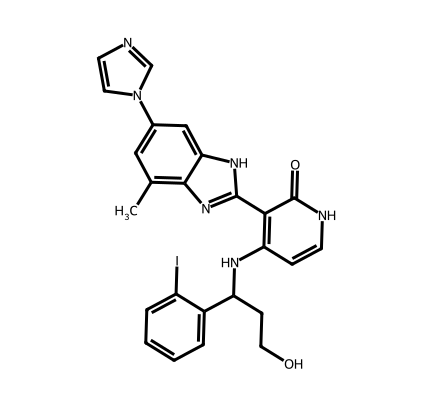 Cc1cc(-n2ccnc2)cc2[nH]c(-c3c(NC(CCO)c4ccccc4I)cc[nH]c3=O)nc12